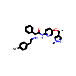 C[C@@H](Oc1ccc(NC(=O)[C@H](NCCc2ccc(C#N)cc2)c2ccccc2)nc1)c1cnn(C)c1